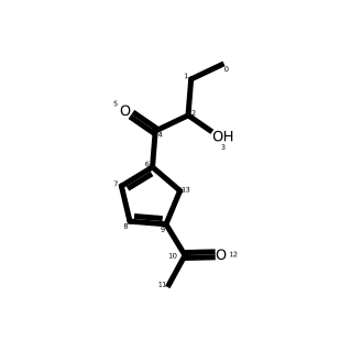 CCC(O)C(=O)C1=CC=C(C(C)=O)C1